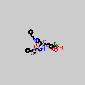 O=C(NC(CC1CCN(CCCc2ccccc2)CC1)C(=O)N1CCCC1C(=O)N1CCOC(c2ccccc2)C1)c1cc2cc(C(F)(F)P(=O)(O)O)ccc2s1